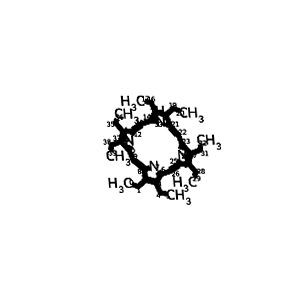 CCC1=C(CC)C2=NC1=CC1=NC(=CC3=C(CC)C(CC)C(=CC4=NC(=C2)C(CC)=C4CC)N3)C(CC)=C1CC